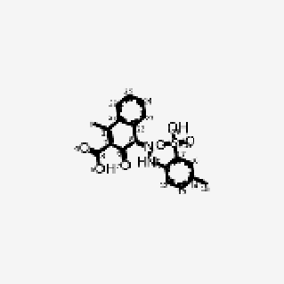 CC1=C(C(=O)O)C(=O)/C(=N\Nc2ccc(C)cc2S(=O)(=O)O)c2ccccc21